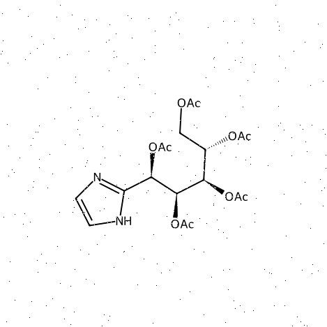 CC(=O)OC[C@H](OC(C)=O)[C@@H](OC(C)=O)[C@@H](OC(C)=O)[C@H](OC(C)=O)c1ncc[nH]1